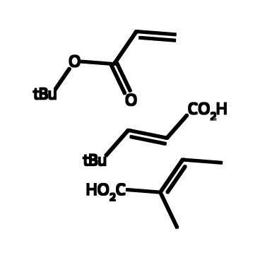 C=CC(=O)OC(C)(C)C.CC(C)(C)C=CC(=O)O.CC=C(C)C(=O)O